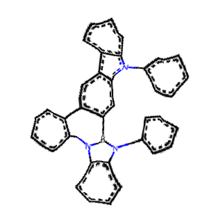 c1ccc(N2B3c4cc5c(cc4-c4ccccc4N3c3ccccc32)c2ccccc2n5-c2ccccc2)cc1